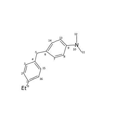 CCc1ccc(Cc2ccc(N(C)C)cc2)cc1